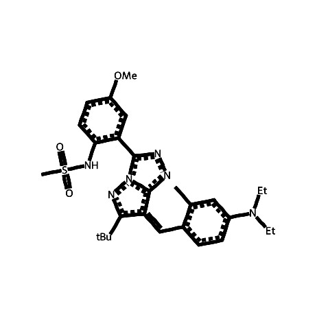 CCN(CC)c1ccc(/C=c2/c(C(C)(C)C)nn3c(-c4cc(OC)ccc4NS(C)(=O)=O)nnc23)c(C)c1